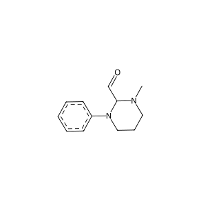 CN1CCCN(c2ccccc2)C1C=O